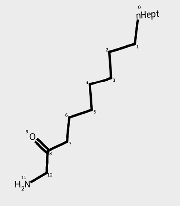 CCCCCCCCCCCCCCC(=O)CN